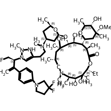 C=C(c1ccc(N2CCC(F)(F)C2)cc1)[C@@H](CF)N1C=C(CCN(C)[C@@H]2C[C@H](O[C@@H]3[C@@H](C)C([C@H]4C[C@@](C)(OC)[C@@H](O)[C@H](C)O4)[C@@H](C)C(=O)O[C@H](CC)[C@@](C)(O)[C@H](O)[C@@H](C)N(C)C[C@H](C)C[C@@]3(C)O)O[C@H](C)C2)NN1C